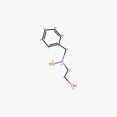 OCCN(O)Cc1ccccc1